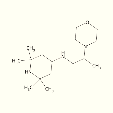 CC(CNC1CC(C)(C)NC(C)(C)C1)N1CCOCC1